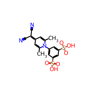 CC1=CC(=C(C#N)C#N)C=C(C)N1c1cc(S(=O)(=O)O)cc(S(=O)(=O)O)c1